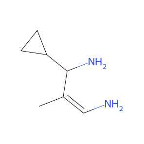 C/C(=C/N)C(N)C1CC1